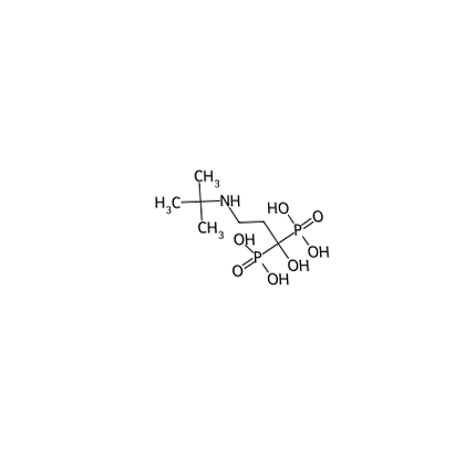 CC(C)(C)NCCC(O)(P(=O)(O)O)P(=O)(O)O